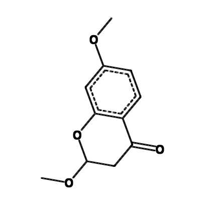 COc1ccc2c(c1)OC(OC)CC2=O